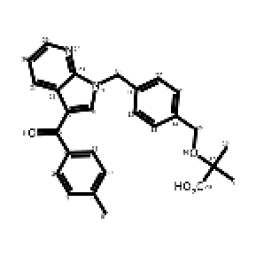 Cc1ccc(C(=O)c2cn(Cc3ccc(COC(C)(C)C(=O)O)cc3)c3ncccc23)cc1